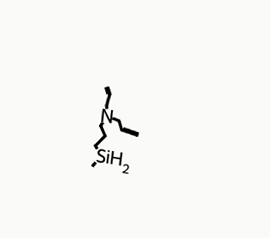 C=CCN(CC=C)CCC[SiH2]C